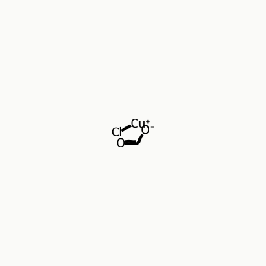 O=C[O-].[Cl][Cu+]